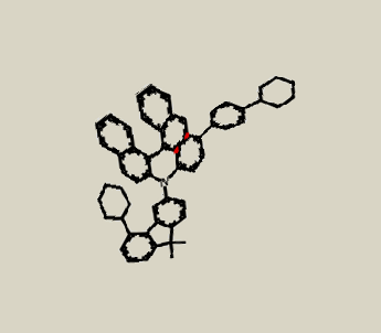 CC1(C)c2ccc(N(c3ccc(-c4ccc(C5CCCCC5)cc4)cc3)c3ccc4ccccc4c3-c3cccc4ccccc34)cc2-c2c(C3CCCCC3)cccc21